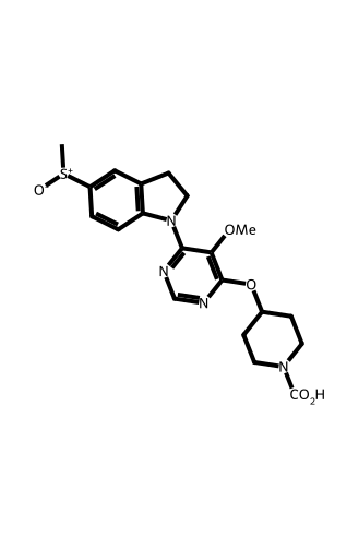 COc1c(OC2CCN(C(=O)O)CC2)ncnc1N1CCc2cc([S+](C)[O-])ccc21